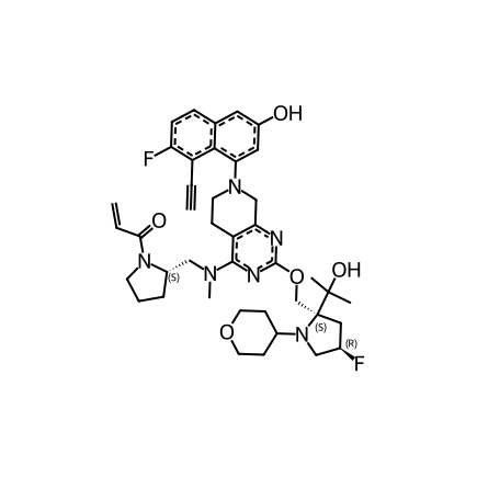 C#Cc1c(F)ccc2cc(O)cc(N3CCc4c(nc(OC[C@]5(C(C)(C)O)C[C@@H](F)CN5C5CCOCC5)nc4N(C)C[C@@H]4CCCN4C(=O)C=C)C3)c12